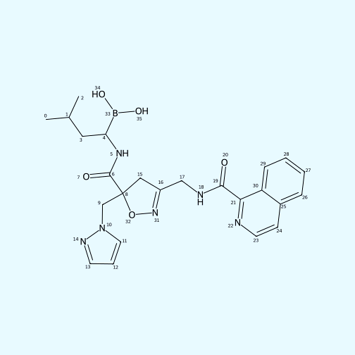 CC(C)CC(NC(=O)C1(Cn2cccn2)CC(CNC(=O)c2nccc3ccccc23)=NO1)B(O)O